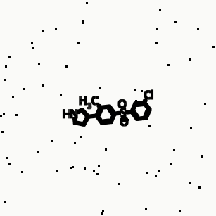 Cc1cc(S(=O)(=O)c2cccc(Cl)c2)ccc1C1CCNC1